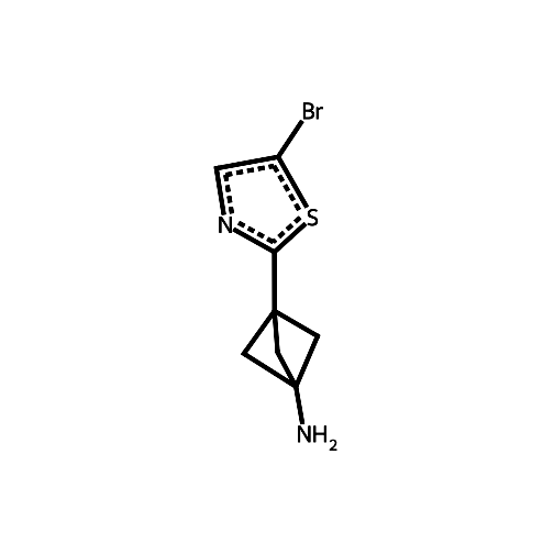 NC12CC(c3ncc(Br)s3)(C1)C2